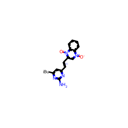 CCC(C)c1cc(/C=C/c2c[n+]([O-])c3ccccc3[n+]2[O-])nc(N)n1